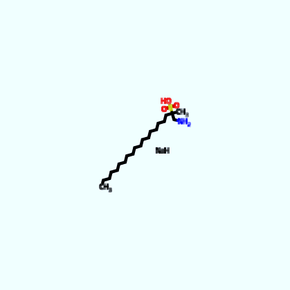 CCCCCCCCCCCCCCCCCCC(C)(CN)S(=O)(=O)O.[NaH]